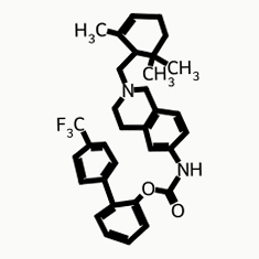 CC1=CCCC(C)(C)C1CN1CCc2cc(NC(=O)Oc3ccccc3-c3ccc(C(F)(F)F)cc3)ccc2C1